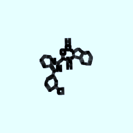 O=C(N[C@@H]1c2ccccc2C[C@@H]1O)c1nc(-c2cccc(Cl)c2)c2ccccn12